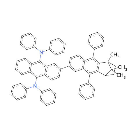 CC12CCC(c3c1c(-c1ccccc1)c1ccc(-c4ccc5c(N(c6ccccc6)c6ccccc6)c6ccccc6c(N(c6ccccc6)c6ccccc6)c5c4)cc1c3-c1ccccc1)C2(C)C